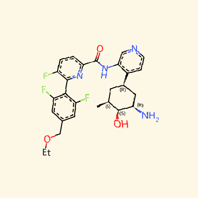 CCOCc1cc(F)c(-c2nc(C(=O)Nc3cnccc3[C@H]3C[C@@H](N)[C@@H](O)[C@@H](C)C3)ccc2F)c(F)c1